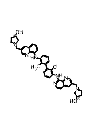 Cc1c(Nc2cccc3cc(CN4CC[C@H](O)C4)cnc23)cccc1-c1cccc(Nc2nccc3cc(CN4CC[C@@H](O)C4)cnc23)c1Cl